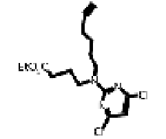 C#CCCCCN(CCCC(=O)OCC)c1nc(Cl)cc(Cl)n1